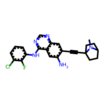 CN1C2CCC1(C#Cc1cc3ncnc(Nc4cccc(Cl)c4F)c3cc1N)CC2